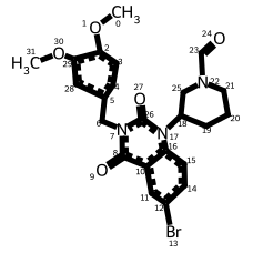 COc1ccc(Cn2c(=O)c3cc(Br)ccc3n(C3CCCN(C=O)C3)c2=O)cc1OC